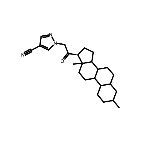 CC1CCC2C(CCC3C2CCC2(C)C3CC[C@@H]2C(=O)Cn2cc(C#N)cn2)C1